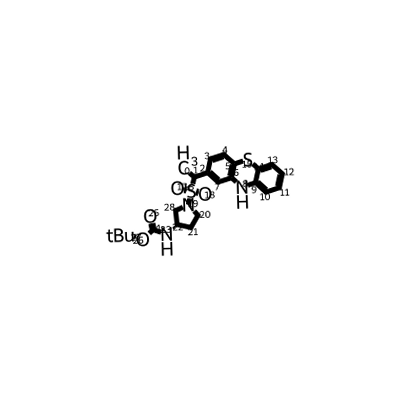 CC(c1ccc2c(c1)Nc1ccccc1S2)S(=O)(=O)N1CC[C@H](NC(=O)OC(C)(C)C)C1